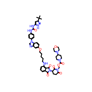 CC(C)(C)c1cc(NC(=O)Nc2ccc(-n3cnc4cc(OCCCCCNc5cccc6c5C(=O)N(C5CCC(=O)N(COC(=O)N7CCC(N8CCOCC8)CC7)C5=O)C6=O)ccc43)cc2)[nH]n1